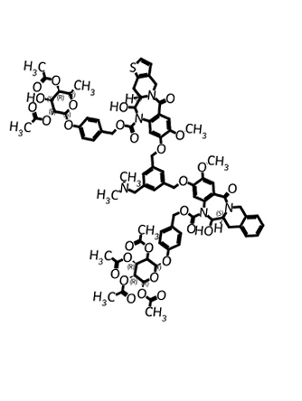 COc1cc2c(cc1OCc1cc(COc3cc4c(cc3OC)C(=O)N3Cc5ccsc5C[C@H]3C(O)N4C(=O)OCc3ccc(O[C@@H]4O[C@H](C)[C@H](OC(C)=O)[C@H](O)[C@H]4OC(C)=O)cc3)cc(CN(C)C)c1)N(C(=O)OCc1ccc(O[C@@H]3O[C@H](OC(C)=O)[C@H](OC(C)=O)[C@H](OC(C)=O)C3OC(C)=O)cc1)C(O)[C@@H]1Cc3ccccc3CN1C2=O